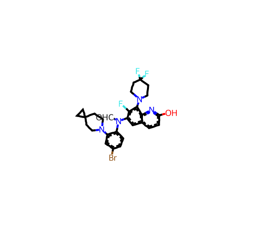 O=CN(c1ccc(Br)cc1N1CCC2(CC1)CC2)c1cc2ccc(O)nc2c(N2CCC(F)(F)CC2)c1F